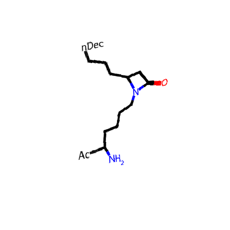 CCCCCCCCCCCCCC1CC(=O)N1CCCCC(N)C(C)=O